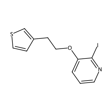 Ic1ncccc1OCCc1ccsc1